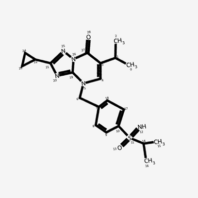 CC(C)c1cn(Cc2ccc(S(=N)(=O)C(C)C)cc2)c2nc(C3CC3)nn2c1=O